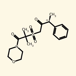 C[C@H](C(=O)CS(=O)(=O)C(C)(C)C(=O)N1CCOCC1)c1ccccc1